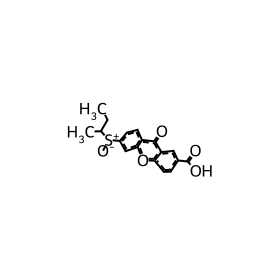 CCC(C)[S+]([O-])c1ccc2c(=O)c3cc(C(=O)O)ccc3oc2c1